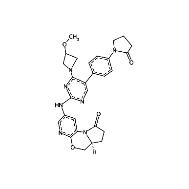 COC1CN(c2nc(Nc3cnc4c(c3)N3C(=O)CC[C@H]3CO4)ncc2-c2ccc(N3CCCC3=O)cc2)C1